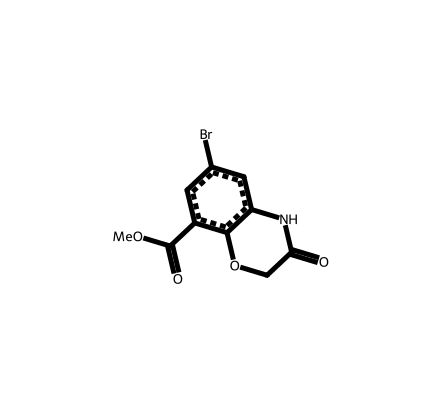 COC(=O)c1cc(Br)cc2c1OCC(=O)N2